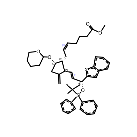 C=C1C[C@H](OC2CCCCO2)[C@H](C/C=C\CCCC(=O)OC)[C@H]1/C=C/[C@@H](O[Si](c1ccccc1)(c1ccccc1)C(C)(C)C)c1cc2ccccc2s1